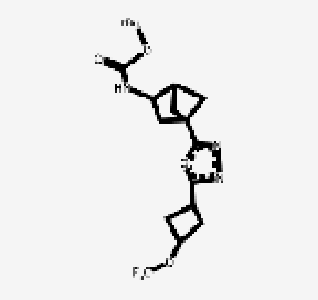 CC(C)(C)OC(=O)NC1CC2(c3nnc(C4CC(OC(F)(F)F)C4)o3)CC1C2